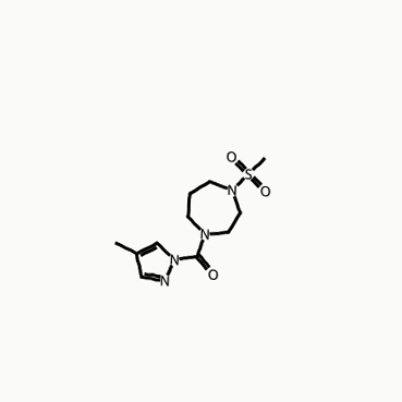 Cc1cnn(C(=O)N2CCCN(S(C)(=O)=O)CC2)c1